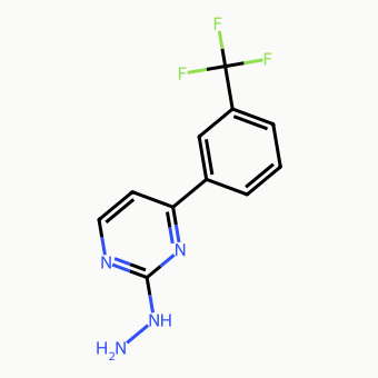 NNc1nccc(-c2cccc(C(F)(F)F)c2)n1